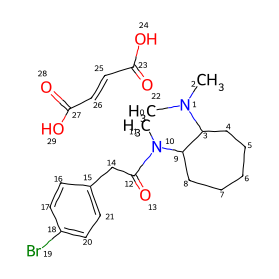 CN(C)C1CCCCCC1N(C)C(=O)Cc1ccc(Br)cc1.O=C(O)C=CC(=O)O